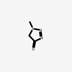 CN1CC(=O)N=N1